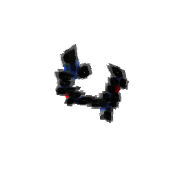 c1ccc(-c2nc(-c3ccccc3)nc(-c3cccc(-c4ccc(-n5c6ccccc6c6c7oc8c(ccc9c8c8ccccc8n9-c8ccc(-c9ccc(-c%10nc(-c%11ccccc%11)nc(-c%11ccccc%11-c%11ccccc%11-n%11c%12ccccc%12c%12c%13oc%14c(ccc%15c%14c%14ccccc%14n%15-c%14ccccc%14)c%13ccc%12%11)n%10)cc9)cc8)c7ccc65)cc4)c3)n2)cc1